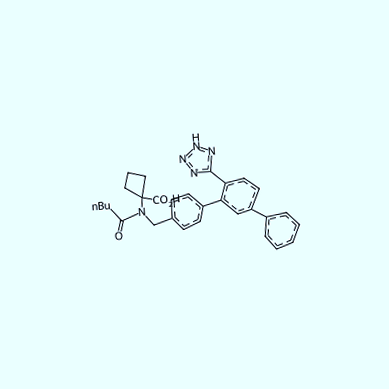 CCCCC(=O)N(Cc1ccc(-c2cc(-c3ccccc3)ccc2-c2nn[nH]n2)cc1)C1(C(=O)O)CCC1